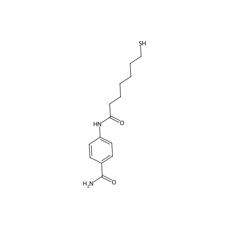 NC(=O)c1ccc(NC(=O)[CH]CCCCCS)cc1